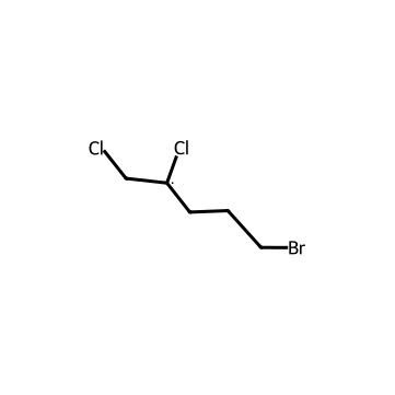 ClC[C](Cl)CCCBr